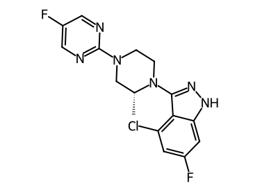 C[C@@H]1CN(c2ncc(F)cn2)CCN1c1n[nH]c2cc(F)cc(Cl)c12